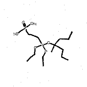 CCCC(C)(CCC)O[Si](CCP(=O)(O)O)(OCC)OCC